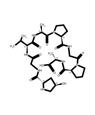 CC(C)[C@H](NC(=O)CNC(=O)[C@@H]1C[C@@H](O)CN1)C(=O)N[C@@H](C)C(=O)N1CCC[C@H]1C(=O)NCC(=O)N1CCC[C@H]1C(=O)N[C@@H](C)C(=O)O